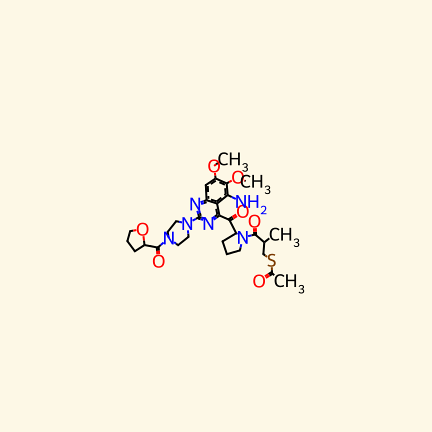 COc1cc2nc(N3CCN(C(=O)C4CCCO4)CC3)nc(C(=O)C3CCCN3C(=O)C(C)CSC(C)=O)c2c(N)c1OC